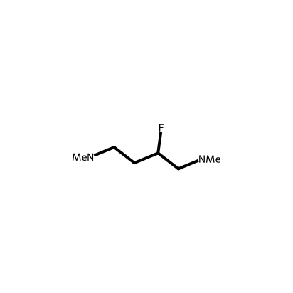 CNCCC(F)CNC